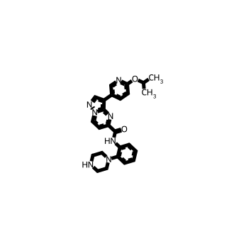 CC(C)Oc1ccc(-c2cnn3ccc(C(=O)Nc4ccccc4N4CCNCC4)nc23)cn1